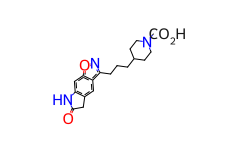 O=C1Cc2cc3c(CCCC4CCN(C(=O)O)CC4)noc3cc2N1